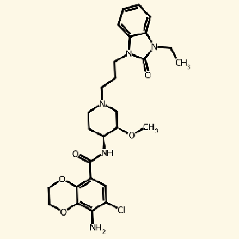 CCn1c(=O)n(CCCN2CC[C@H](NC(=O)c3cc(Cl)c(N)c4c3OCCO4)[C@H](OC)C2)c2ccccc21